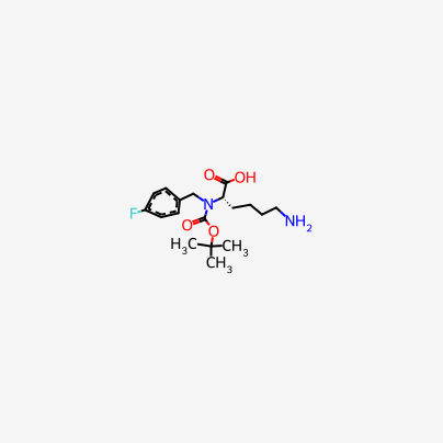 CC(C)(C)OC(=O)N(Cc1ccc(F)cc1)[C@@H](CCCCN)C(=O)O